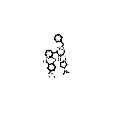 CN(C)[C@@H]1CCN(C[C@@H](COCc2ccccc2)NC(=O)c2cccnc2Oc2ccc(C(F)(F)F)cc2Cl)C1